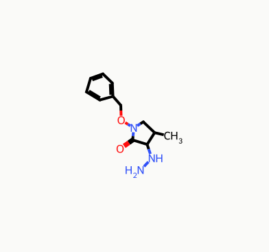 CC1CN(OCc2ccccc2)C(=O)C1NN